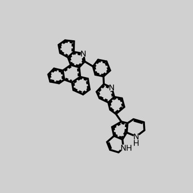 C1=Cc2cc(-c3ccc4nc(-c5cccc(-c6nc7ccccc7c7c8ccccc8c8ccccc8c67)c5)ccc4c3)c3c(c2NC1)NCC=C3